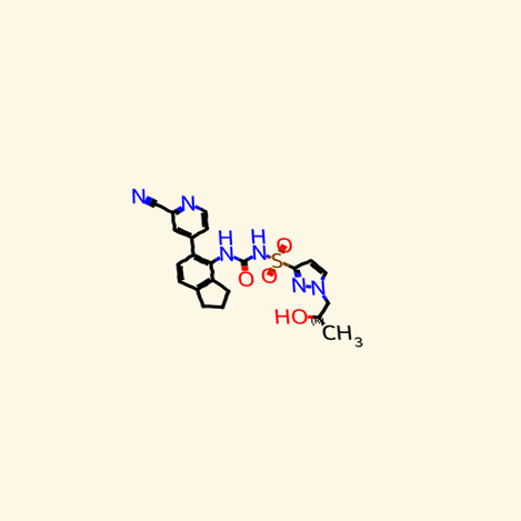 C[C@@H](O)Cn1ccc(S(=O)(=O)NC(=O)Nc2c(-c3ccnc(C#N)c3)ccc3c2CCC3)n1